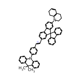 CC1(C)c2ccccc2N(c2ccc(/C=C/c3ccc4c(c3)C3(c5ccccc5-c5ccccc53)c3cc(N5CCCC6=C5CCC=C6)ccc3-4)cc2)c2ccccc21